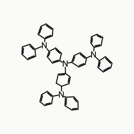 C1=CC(N(c2ccccc2)c2ccccc2)CC=C1N(c1ccc(N(c2ccccc2)c2ccccc2)cc1)c1ccc(N(c2ccccc2)c2ccccc2)cc1